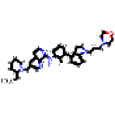 Cc1c(Nc2nccc3cc(CN4CCCCC4CC(=O)O)cnc23)cccc1-c1cccc2c1ccn2CCCN1CCOCC1